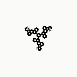 c1cnc2c(c1)-c1cccc3c1c-2cc1c2ccccc2c(-c2cc(-c4cc5c6cccc7c6c(cc5c5ccccc45)-c4ncccc4-7)cc(-c4cc5c6cccc7c6c(cc5c5ccccc45)-c4ncccc4-7)c2)cc31